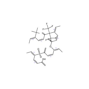 C=C(O)/C=C\C(=C/C)S(=O)(=O)C(=C)/C=C\C(=C/C)OC(=C)/C=C\C(=C/C)C(C(=C)/C=C\C(=C/C)C(C)(C)C)(C(F)(F)F)C(F)(F)F